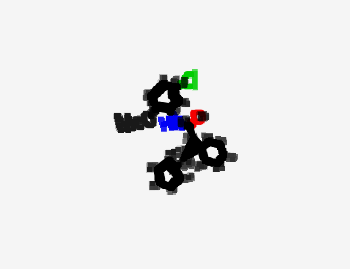 COc1ccc(Cl)cc1NC(=O)[C@@H]1[C@@H](c2ccccc2)C12CCCCC2